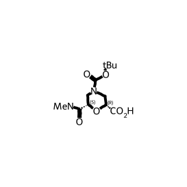 CNC(=O)[C@@H]1CN(C(=O)OC(C)(C)C)C[C@H](C(=O)O)O1